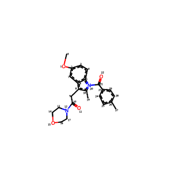 COc1ccc2c(c1)c(CC(=O)N1CCOCC1)c(C)n2C(=O)c1ccc(C)cc1